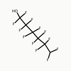 OC(F)(F)C(F)(F)C(F)(F)C(F)(F)C(F)(F)C(F)F